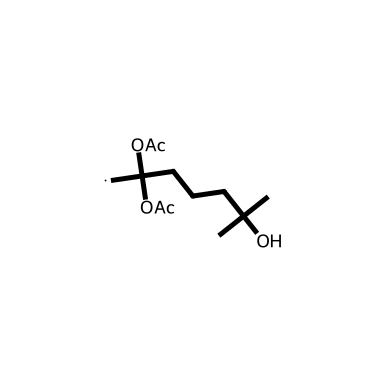 [CH2]C(CCCC(C)(C)O)(OC(C)=O)OC(C)=O